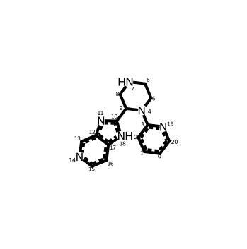 c1ccc(N2CCNCC2c2nc3cnccc3[nH]2)nc1